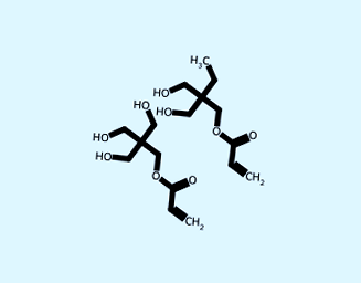 C=CC(=O)OCC(CC)(CO)CO.C=CC(=O)OCC(CO)(CO)CO